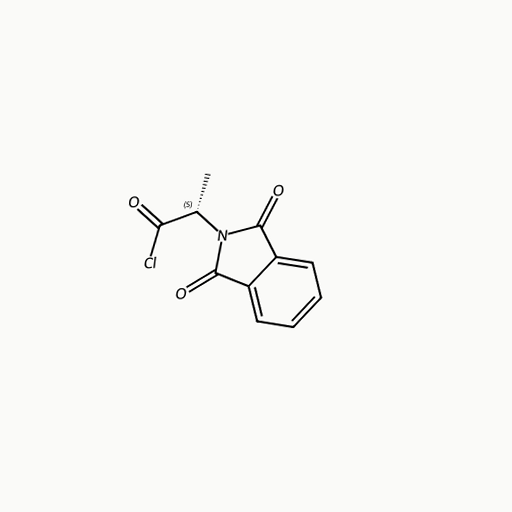 C[C@@H](C(=O)Cl)N1C(=O)c2ccccc2C1=O